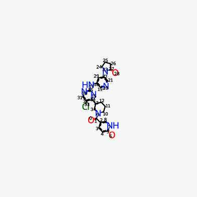 O=C(c1ccc(=O)[nH]c1)N1CCCC(c2nc(Nc3cncc(N4CCCC4=O)c3)ncc2Cl)C1